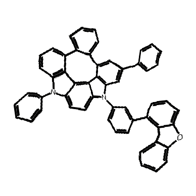 c1ccc(-c2cc3c4ccccc4c4cccc5c4c4c6c3c(c2)n(-c2cccc(-c3cccc7oc8ccccc8c37)c2)c6ccc4n5-c2ccccc2)cc1